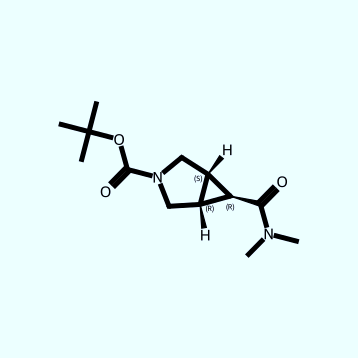 CN(C)C(=O)[C@H]1[C@@H]2CN(C(=O)OC(C)(C)C)C[C@@H]21